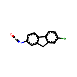 O=C=Nc1ccc2c(c1)Cc1cc(Br)ccc1-2